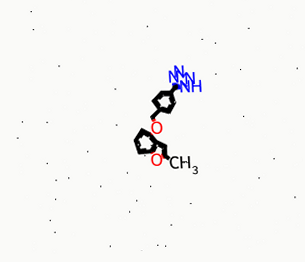 Cc1cc2c(OCc3ccc(-c4nnn[nH]4)cc3)cccc2o1